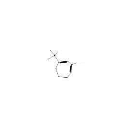 C[C@H]1CCC=C(S)C=C1C(F)(F)F